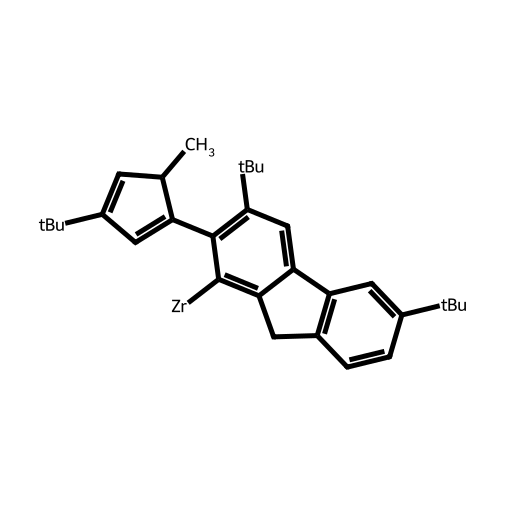 CC1C=C(C(C)(C)C)C=C1c1c(C(C)(C)C)cc2c([c]1[Zr])Cc1ccc(C(C)(C)C)cc1-2